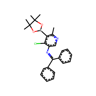 Cc1ncc(N=C(c2ccccc2)c2ccccc2)c(Cl)c1B1OC(C)(C)C(C)(C)O1